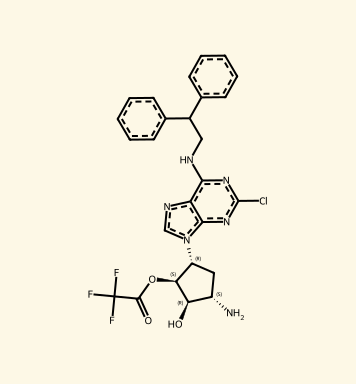 N[C@H]1C[C@@H](n2cnc3c(NCC(c4ccccc4)c4ccccc4)nc(Cl)nc32)[C@H](OC(=O)C(F)(F)F)[C@@H]1O